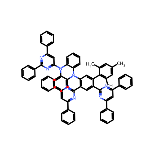 Cc1cc(C)c(-c2cc(N3c4ccccc4N(c4cc(-c5ccccc5)nc(-c5ccccc5)n4)c4ccccc43)c(-c3nc(-c4ccccc4)cc(-c4ccccc4)n3)cc2-c2nc(-c3ccccc3)cc(-c3ccccc3)n2)c(C)c1